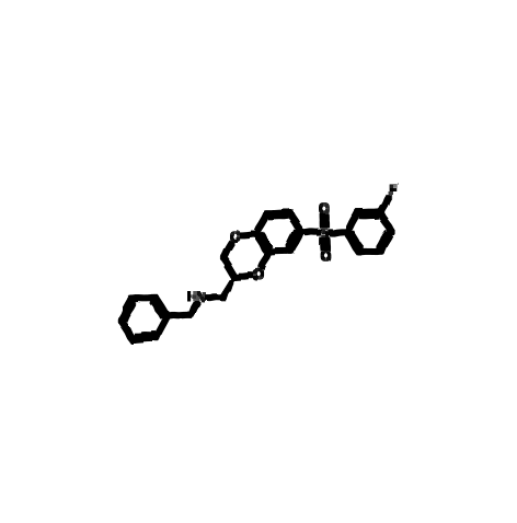 O=S(=O)(c1cccc(F)c1)c1ccc2c(c1)O[C@@H](CNCc1ccccc1)CO2